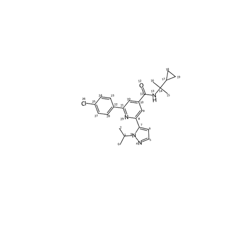 CC(C)n1nccc1-c1cc(C(=O)NC(C)(C)C2CC2)cc(-c2ccc(Cl)cc2)n1